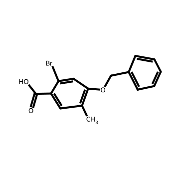 Cc1cc(C(=O)O)c(Br)cc1OCc1ccccc1